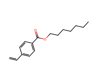 C=Cc1ccc(C(=O)OCCCCCCC)cc1